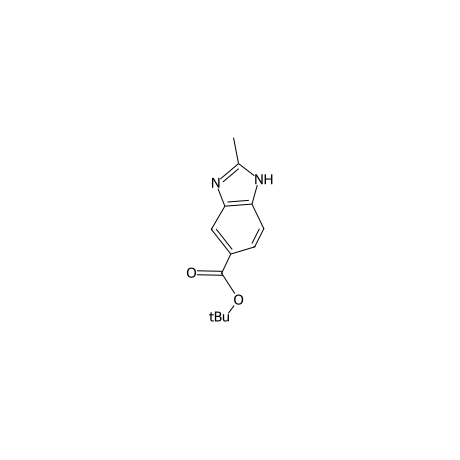 Cc1nc2cc(C(=O)OC(C)(C)C)ccc2[nH]1